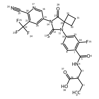 CCC(CNC(=O)c1ccc(N2C(=S)N(c3cnc(C#N)c(C(F)(F)F)c3)C(=O)C23CCC3)cc1F)C(=O)O